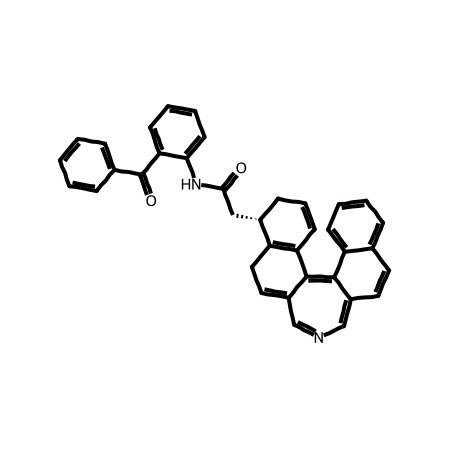 O=C(C[C@@H]1CC=CC2=C1CC=C1C=NC=c3ccc4ccccc4c3=C12)Nc1ccccc1C(=O)c1ccccc1